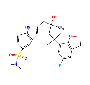 CN(C)S(=O)(=O)c1ccc2[nH]c(CC(O)(CC(C)(C)c3cc(F)cc4c3OCC4)C(F)(F)F)cc2c1